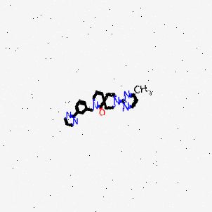 Cc1ccnc(N2CCC3(CCCN(Cc4cccc(-c5ncccn5)c4)C3=O)CC2)n1